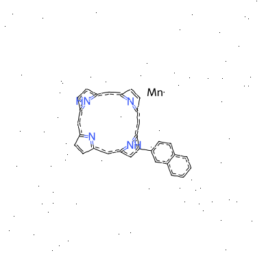 C1=Cc2cc3cc(-c4ccc5ccccc5c4)c(cc4nc(cc5ccc(cc1n2)[nH]5)C=C4)[nH]3.[Mn]